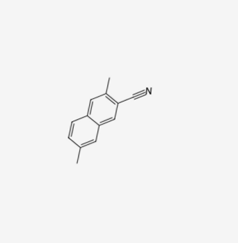 Cc1ccc2cc(C)c(C#N)cc2c1